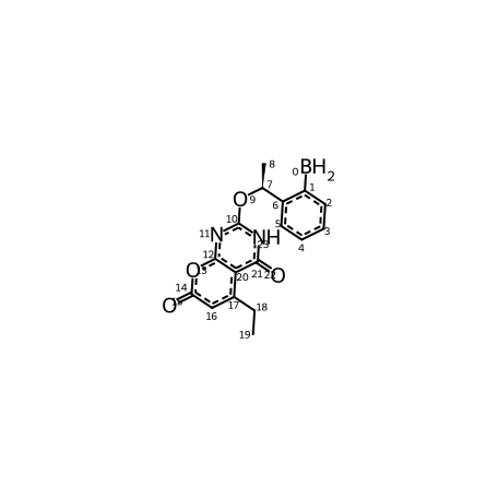 Bc1ccccc1[C@H](C)Oc1nc2oc(=O)cc(CC)c2c(=O)[nH]1